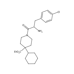 CCOC(=O)C1(C2CCCCC2)CCN(C(=O)C(N)Cc2ccc(Cl)cc2)CC1